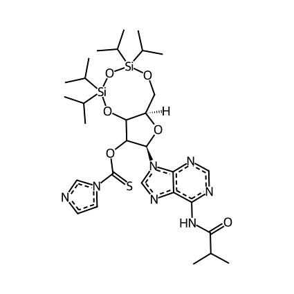 CC(C)C(=O)Nc1ncnc2c1ncn2[C@@H]1O[C@@H]2CO[Si](C(C)C)(C(C)C)O[Si](C(C)C)(C(C)C)OC2C1OC(=S)n1ccnc1